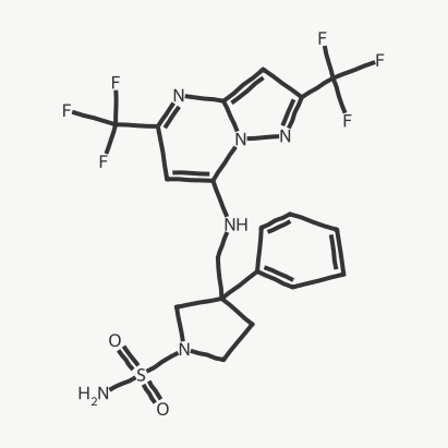 NS(=O)(=O)N1CCC(CNc2cc(C(F)(F)F)nc3cc(C(F)(F)F)nn23)(c2ccccc2)C1